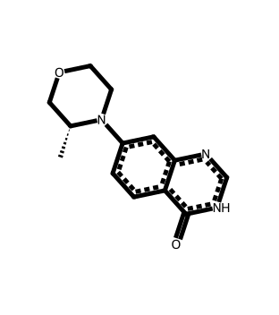 C[C@@H]1COCCN1c1ccc2c(=O)[nH]cnc2c1